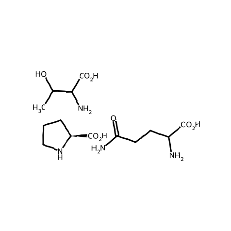 CC(O)C(N)C(=O)O.NC(=O)CCC(N)C(=O)O.O=C(O)[C@@H]1CCCN1